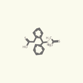 CC(O)=S.CC(c1ccccc1)c1ccccc1CC(O)=S